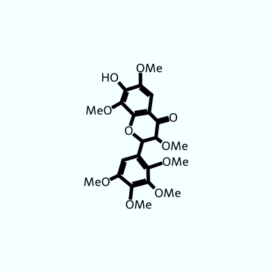 COc1cc2c(c(OC)c1O)OC(c1cc(OC)c(OC)c(OC)c1OC)C(OC)C2=O